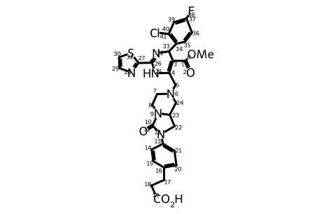 COC(=O)C1=C(CN2CCN3C(=O)N(c4ccc(CCC(=O)O)cc4)CC3C2)NC(c2nccs2)=NC1c1ccc(F)cc1Cl